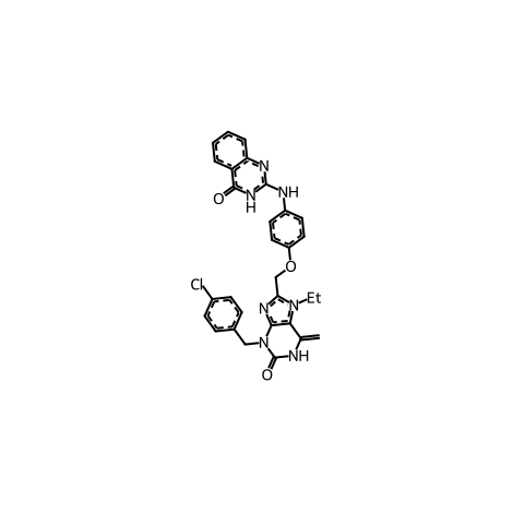 C=C1NC(=O)N(Cc2ccc(Cl)cc2)c2nc(COc3ccc(Nc4nc5ccccc5c(=O)[nH]4)cc3)n(CC)c21